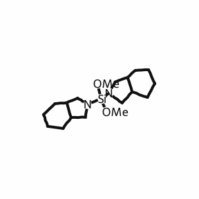 CO[Si](OC)(N1CC2CCCCC2C1)N1CC2CCCCC2C1